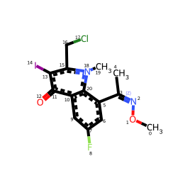 CO/N=C(/C)c1cc(F)cc2c(=O)c(I)c(CCl)n(C)c12